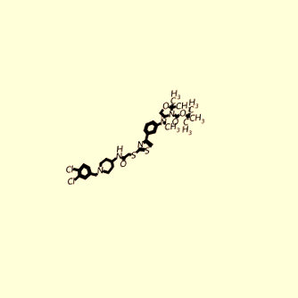 CN(c1cccc(-c2csc(SCC(=O)NC3CCN(Cc4ccc(Cl)c(Cl)c4)CC3)n2)c1)[C@@H]1COC(C)(C)N1C(=O)OC(C)(C)C